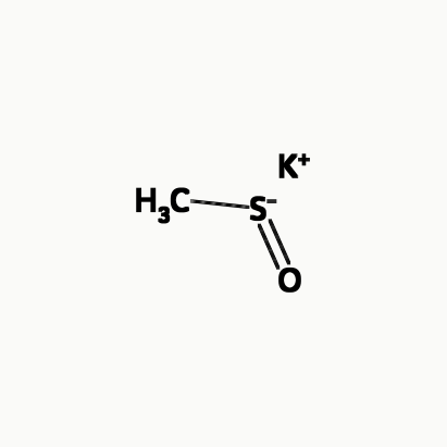 C[S-]=O.[K+]